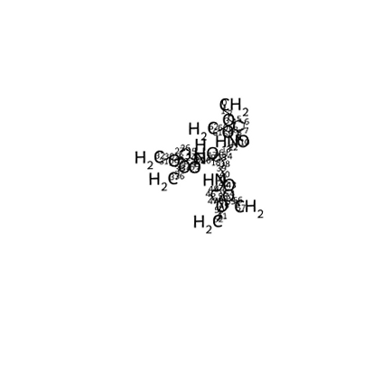 C=CCOc1cccc(C(=O)NCCCC(CO)(CCCNC(=O)c2cccc(OCC=C)c2OCC=C)CCCNC(=O)c2cccc(OCC=C)c2OCC=C)c1OCC=C